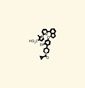 CCc1cc(O[C@H]2CCc3cccc(-c4cccc(-n5ccc(C(=O)O)c5C)n4)c32)ccc1C1CCN(C(=O)C2CC2)CC1